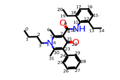 CCCCn1c(C)c(C(=O)Nc2c(CC)cccc2CC)c(=O)c(-c2ccccc2)c1C